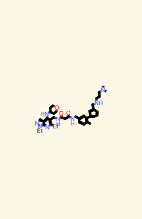 CCc1nc2c(cnn2CC)c(NC2CCOCC2)c1CNC(=O)CC(=O)NCc1ccc(C)c(-c2cccc(CNCCCN(C)C)c2)c1